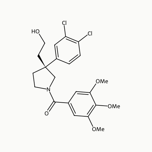 COc1cc(C(=O)N2CC[C@](CCO)(c3ccc(Cl)c(Cl)c3)C2)cc(OC)c1OC